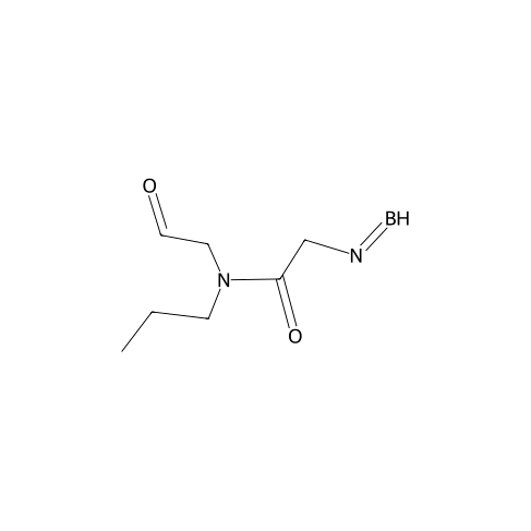 B=NCC(=O)N(CC=O)CCC